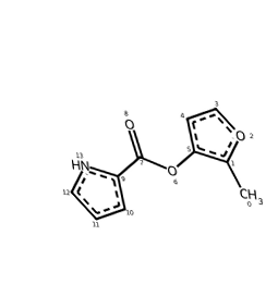 Cc1occc1OC(=O)c1ccc[nH]1